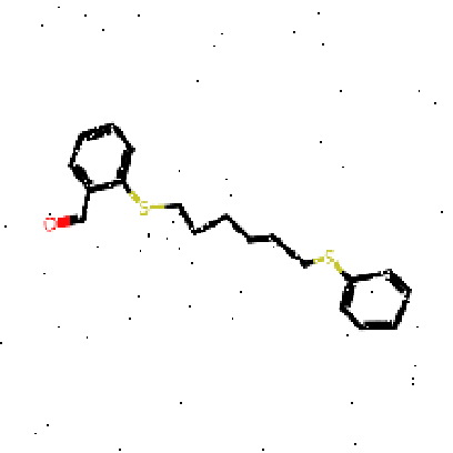 O=Cc1ccccc1SCCCCCCSc1ccccc1